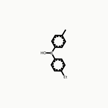 CCc1ccc(B(O)c2ccc(C)cc2)cc1